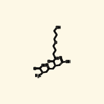 CC(CC(=O)CC(CC(=O)O)C(=O)NCCCOCCCO)C(=O)O